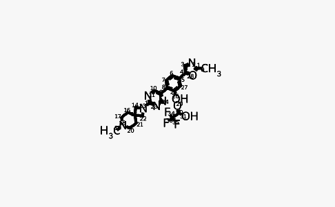 Cc1ncc(-c2ccc(-c3cnc(N4CC5(CCN(C)CC5)C4)nn3)c(O)c2)o1.O=C(O)C(F)(F)F